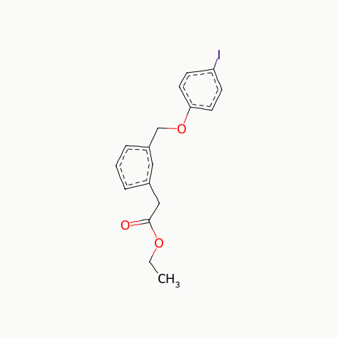 CCOC(=O)Cc1cccc(COc2ccc(I)cc2)c1